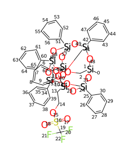 C[Si]12CO[Si]3(c4ccccc4)O[Si]4(CCOS(=O)(=O)C(F)(F)F)O[Si](c5ccccc5)(O1)O[Si]1(c5ccccc5)O[Si](c5ccccc5)(O2)O[Si](c2ccccc2)(O3)O[Si](c2ccccc2)(O4)O1